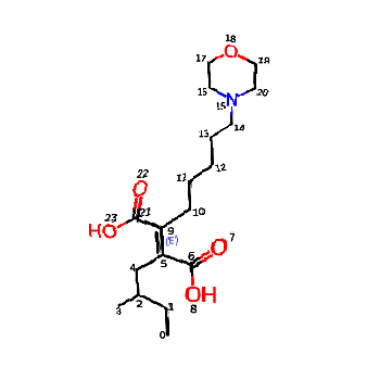 CCC(C)C/C(C(=O)O)=C(/CCCCCN1CCOCC1)C(=O)O